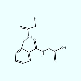 O=C(O)CNC(=O)c1ccccc1CNC(=O)C[S]